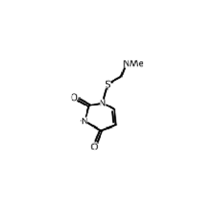 CNCSN1C=CC(=O)[N]C1=O